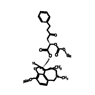 COc1ccc2c3c1O[C@H]1C[C@H](OC(=O)[C@H](CC(=O)CCc4ccccc4)OC(=O)OC(C)(C)C)C(C)[C@@]31CCN(C)C2